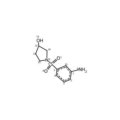 Nc1cccc(S(=O)(=O)N2CCC(O)C2)c1